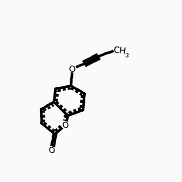 CC#COc1ccc2oc(=O)ccc2c1